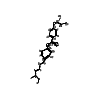 CCC(C)CCCCc1ccc(OC(=O)c2ccc(O[C@H](C)CC)cc2)cc1